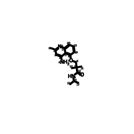 Cc1cc(N)c2c(OCC(C)(C)C(=O)NC(C)C)cccc2n1